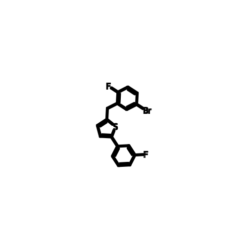 Fc1cccc(-c2ccc(Cc3cc(Br)ccc3F)s2)c1